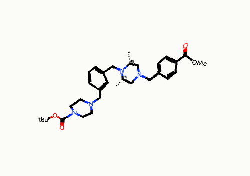 COC(=O)c1ccc(CN2C[C@@H](C)N(Cc3cccc(CN4CCN(C(=O)OC(C)(C)C)CC4)c3)[C@@H](C)C2)cc1